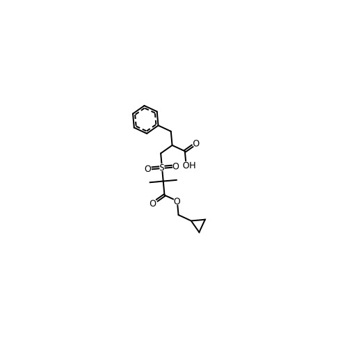 CC(C)(C(=O)OCC1CC1)S(=O)(=O)CC(Cc1ccccc1)C(=O)O